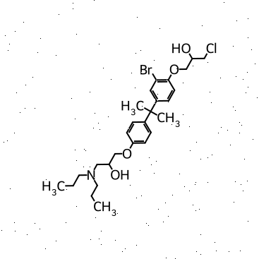 CCCN(CCC)CC(O)COc1ccc(C(C)(C)c2ccc(OCC(O)CCl)c(Br)c2)cc1